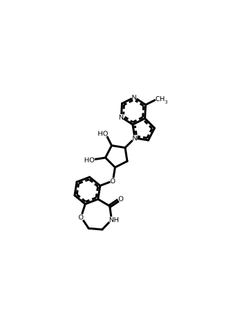 Cc1ncnc2c1ccn2C1CC(Oc2cccc3c2C(=O)NCCO3)C(O)C1O